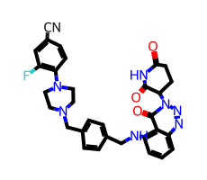 N#Cc1ccc(N2CCN(Cc3ccc(CNc4cccc5nnn(C6CCC(=O)NC6=O)c(=O)c45)cc3)CC2)c(F)c1